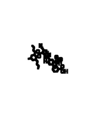 CCCCC1CC(C)CC(CCCC)C1OC(=O)c1c(C#N)cn2nc(-c3ccc(N4CCCC(C(=O)O)C4)c(N[SH](=O)=O)c3)[nH]c12